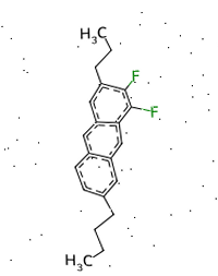 CCCCc1ccc2cc3cc(CCC)c(F)c(F)c3cc2c1